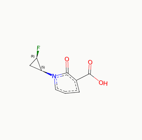 O=C(O)c1cccn([C@H]2C[C@H]2F)c1=O